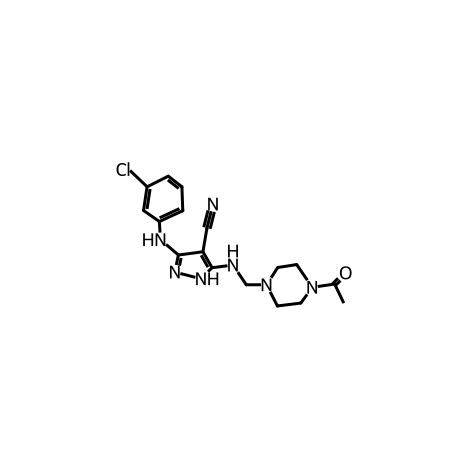 CC(=O)N1CCN(CNc2[nH]nc(Nc3cccc(Cl)c3)c2C#N)CC1